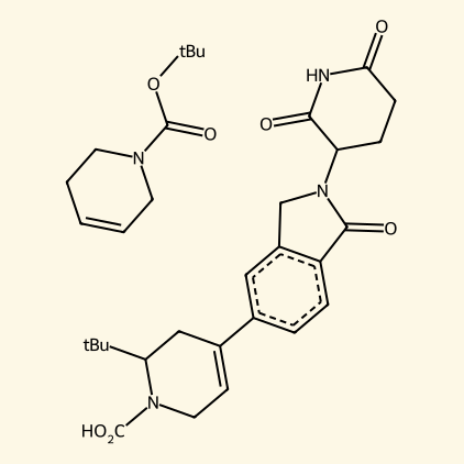 CC(C)(C)C1CC(c2ccc3c(c2)CN(C2CCC(=O)NC2=O)C3=O)=CCN1C(=O)O.CC(C)(C)OC(=O)N1CC=CCC1